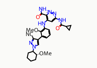 COc1c(Nc2cc(NC(=O)C3CC3)nnc2C(N)=O)cccc1-c1cn(C2CCCC[C@H]2OC)nc1C#N